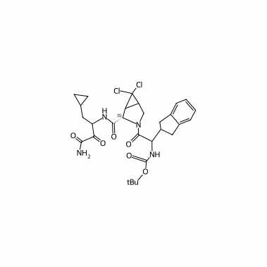 CC(C)(C)OC(=O)NC(C(=O)N1CC2C([C@H]1C(=O)NC(CC1CC1)C(=O)C(N)=O)C2(Cl)Cl)C1Cc2ccccc2C1